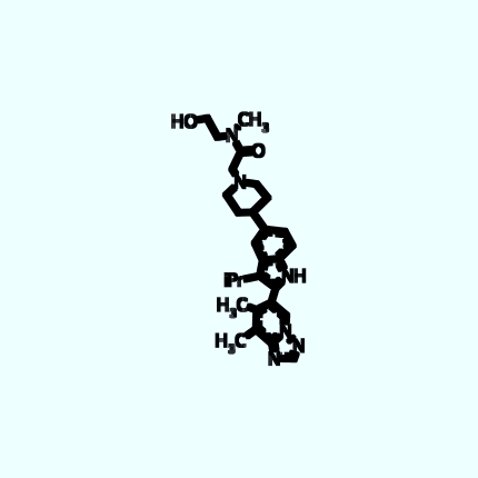 Cc1c(-c2[nH]c3ccc(C4CCN(CC(=O)N(C)CCO)CC4)cc3c2C(C)C)cn2ncnc2c1C